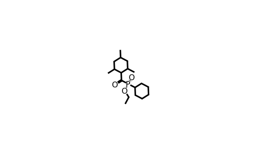 CCOP(=O)(C(=O)C1C(C)CC(C)CC1C)C1CCCCC1